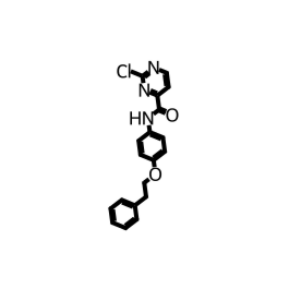 O=C(Nc1ccc(OCCc2ccccc2)cc1)c1ccnc(Cl)n1